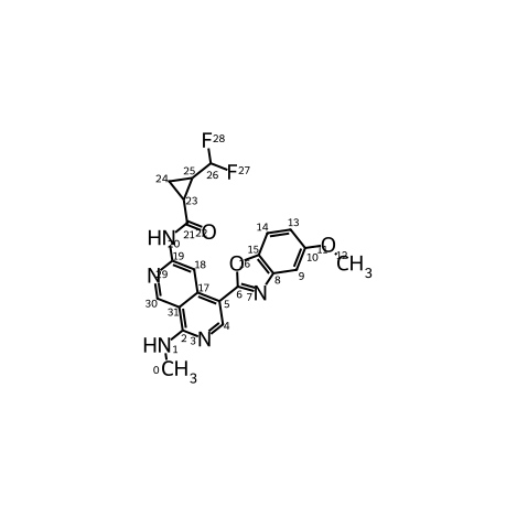 CNc1ncc(-c2nc3cc(OC)ccc3o2)c2cc(NC(=O)C3CC3C(F)F)ncc12